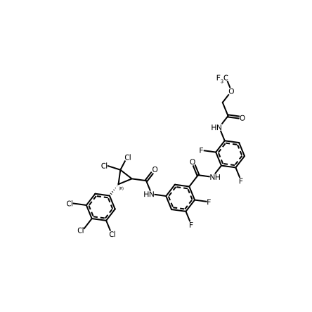 O=C(COC(F)(F)F)Nc1ccc(F)c(NC(=O)c2cc(NC(=O)C3[C@H](c4cc(Cl)c(Cl)c(Cl)c4)C3(Cl)Cl)cc(F)c2F)c1F